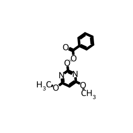 COc1cc(OC)nc(OOC(=O)c2ccccc2)n1